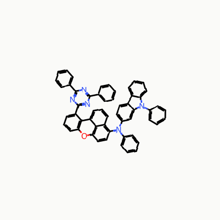 c1ccc(-c2nc(-c3ccccc3)nc(-c3cccc4c3-c3cccc5c(N(c6ccccc6)c6ccc7c8ccccc8n(-c8ccccc8)c7c6)ccc(c35)O4)n2)cc1